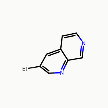 [CH2]Cc1cnc2cnccc2c1